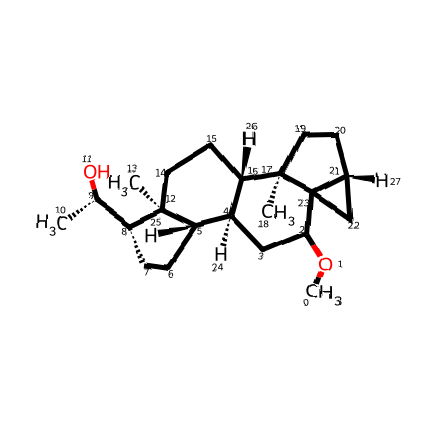 COC1C[C@H]2[C@@H]3CC[C@H]([C@H](C)O)[C@@]3(C)CC[C@@H]2[C@@]2(C)CC[C@@H]3CC132